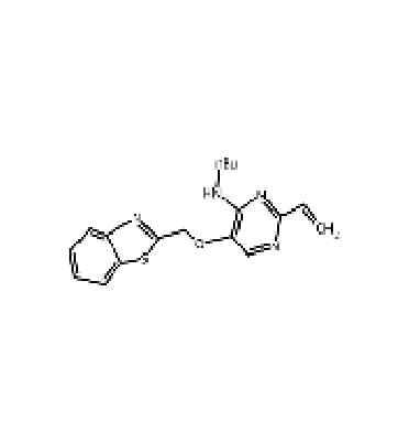 C=Cc1ncc(OCc2nc3ccccc3s2)c(NCCCC)n1